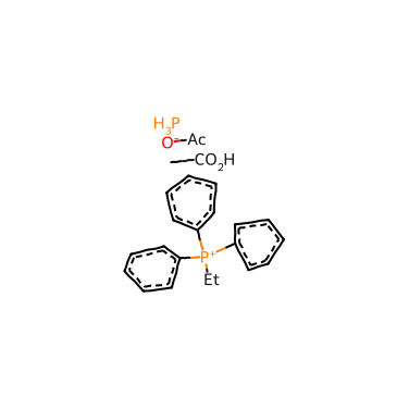 CC(=O)O.CC(=O)[O-].CC[P+](c1ccccc1)(c1ccccc1)c1ccccc1.P